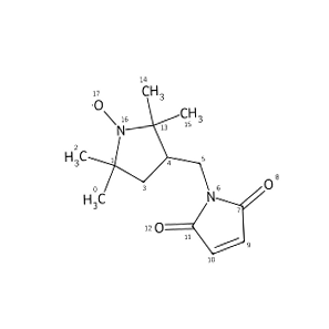 CC1(C)CC(CN2C(=O)C=CC2=O)C(C)(C)N1[O]